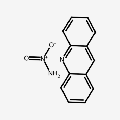 N[N+](=O)[O-].c1ccc2nc3ccccc3cc2c1